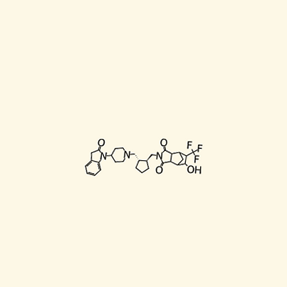 O=C1C2C3CC(C2C(=O)N1C[C@H]1CCC[C@@H]1CN1CCC(N2C(=O)Cc4ccccc42)CC1)C(C(F)(F)F)C3O